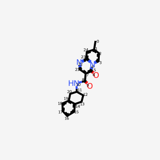 Cc1ccn2c(=O)c(C(=O)NC3CCc4ccccc4C3)cnc2c1